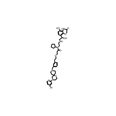 CC(C)c1ccnc(N2CCOC3(CCN(Cc4cccc(CCOCCC(=O)N(CCNCC(O)c5ccc(O)c6c5OCC(=O)N6)C5CCCC5)c4)CC3)C2)c1